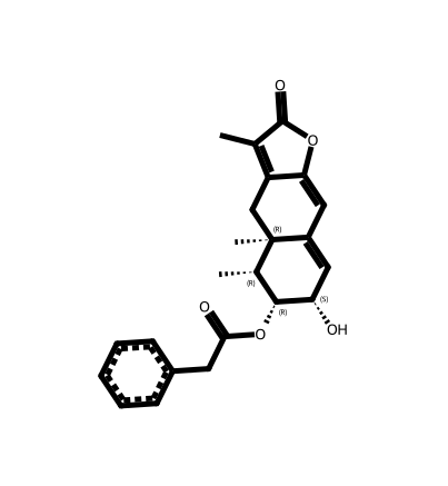 CC1=C2C[C@@]3(C)C(=C[C@H](O)[C@H](OC(=O)Cc4ccccc4)[C@@H]3C)C=C2OC1=O